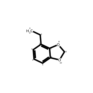 C[CH]c1cccc2c1OCO2